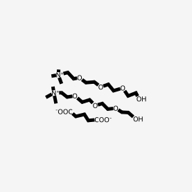 C[N+](C)(C)CCOCCOCCOCCO.C[N+](C)(C)CCOCCOCCOCCO.O=C([O-])CCCC(=O)[O-]